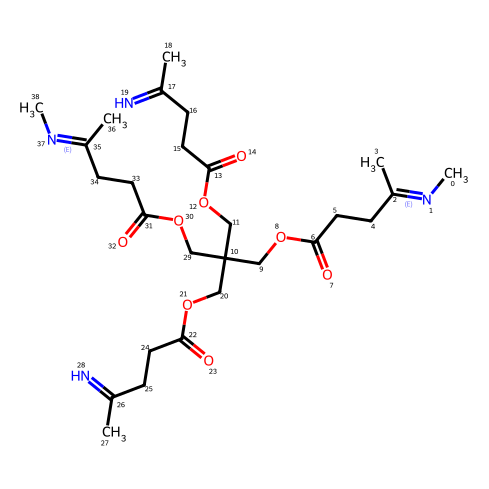 C/N=C(\C)CCC(=O)OCC(COC(=O)CCC(C)=N)(COC(=O)CCC(C)=N)COC(=O)CC/C(C)=N/C